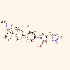 CN1C[C@@H]2[C@H](C1)[C@@]2(C#N)c1ccc(-c2ccc(N3C[C@H](Cn4ccnn4)OC3=O)cc2F)cn1